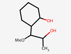 COC(C(C)O)C1CCCCC1O